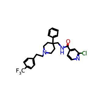 O=C(NCC1(c2ccccc2)CCN(CCc2ccc(C(F)(F)F)cc2)CC1)c1ccnc(Cl)c1